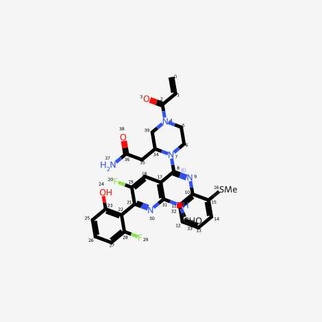 C=CC(=O)N1CCN(/C(=N/c2ccccc2SC)c2cc(F)c(-c3c(O)cccc3F)nc2NC=O)C(CC(N)=O)C1